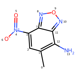 Cc1cc([N+](=O)[O-])c2nonc2c1N